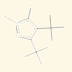 Cn1nc(C(C)(C)C)c(C(C)(C)C)c1F